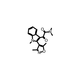 Cc1noc(C)c1-c1c(C(=O)C(=O)N(C)C)c2ccccc2n1C